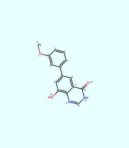 CC(C)Oc1cccc(-c2cc(O)c3nc[nH]c(=O)c3c2)c1